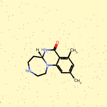 Cc1cc(C)c2c(c1)N1CCNCC[C@@H]1NC2=O